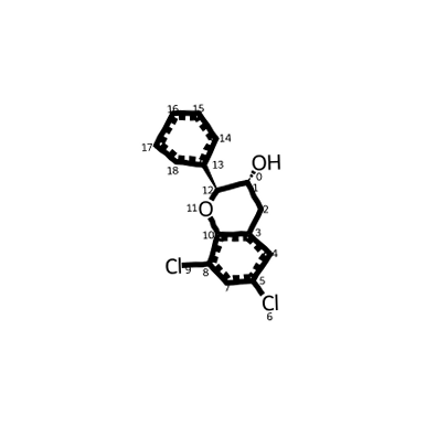 O[C@@H]1Cc2cc(Cl)cc(Cl)c2O[C@H]1c1ccccc1